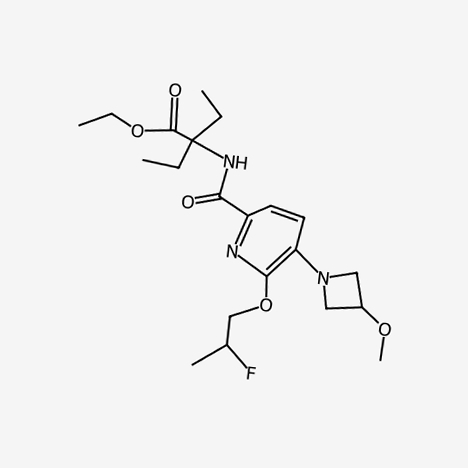 CCOC(=O)C(CC)(CC)NC(=O)c1ccc(N2CC(OC)C2)c(OCC(C)F)n1